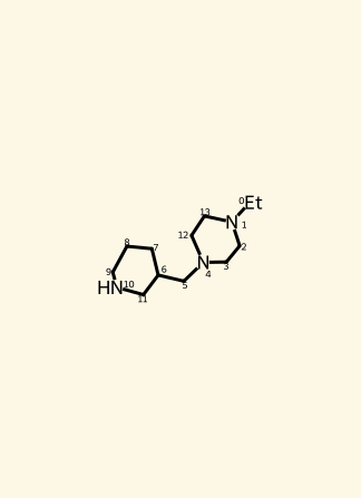 CCN1CCN(CC2CCCNC2)CC1